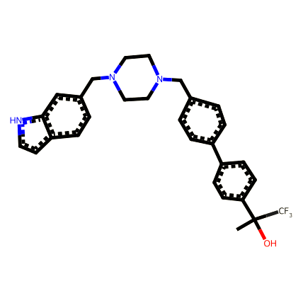 CC(O)(c1ccc(-c2ccc(CN3CCN(Cc4ccc5cc[nH]c5c4)CC3)cc2)cc1)C(F)(F)F